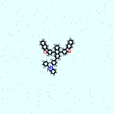 c1ccc(-c2nc3ccccc3n2-c2ccc(-c3ccc4c(-c5ccc6oc7cc8ccccc8cc7c6c5)c5ccccc5c(-c5ccc6oc7cc8ccccc8cc7c6c5)c4c3)cc2)cc1